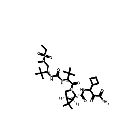 CCS(=O)(=O)N(C)C[C@@H](NC(=O)N[C@H](C(=O)N1C[C@H]2[C@@H]([C@H]1C(=O)NC(C(=O)C(N)=O)C1CCC1)C2(C)C)C(C)(C)C)C(C)(C)C